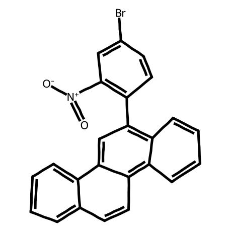 O=[N+]([O-])c1cc(Br)ccc1-c1cc2c3ccccc3ccc2c2ccccc12